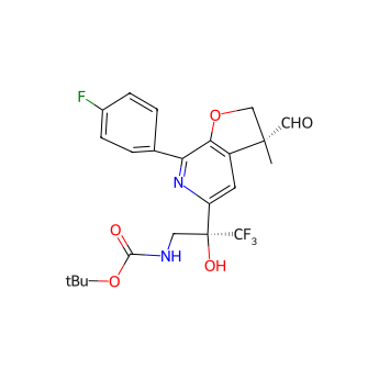 CC(C)(C)OC(=O)NC[C@](O)(c1cc2c(c(-c3ccc(F)cc3)n1)OC[C@]2(C)C=O)C(F)(F)F